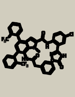 Cn1c(C(=O)Nc2ccc(Cl)cc2-c2noc(=O)[nH]2)cc2c(-c3ccccc3C(F)(F)F)cc(-c3ccccc3C(F)(F)F)c(NC(=O)Cc3ccccc3)c21